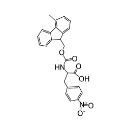 Cc1cccc2c1-c1ccccc1C2COC(=O)NC(Cc1ccc([N+](=O)[O-])cc1)C(=O)O